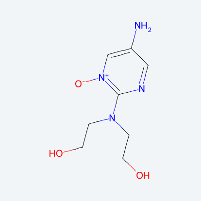 Nc1cnc(N(CCO)CCO)[n+]([O-])c1